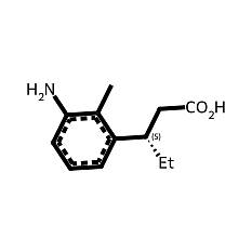 CC[C@@H](CC(=O)O)c1cccc(N)c1C